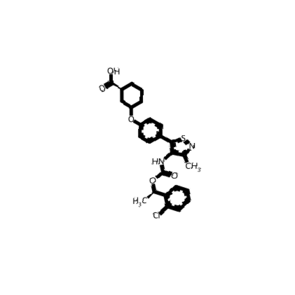 Cc1nsc(-c2ccc(OC3CCC[C@H](C(=O)O)C3)cc2)c1NC(=O)O[C@H](C)c1ccccc1Cl